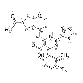 CC(=O)N1CC2OCCN(CC3=C(C(=O)O)C(c4cccc(F)c4C)N=C(c4nccs4)N3)C2C1